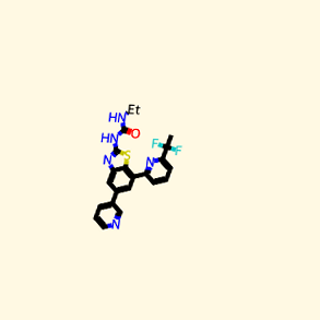 CCNC(=O)Nc1nc2cc(-c3cccnc3)cc(-c3cccc(C(C)(F)F)n3)c2s1